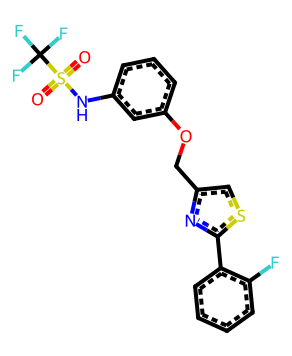 O=S(=O)(Nc1cccc(OCc2csc(-c3ccccc3F)n2)c1)C(F)(F)F